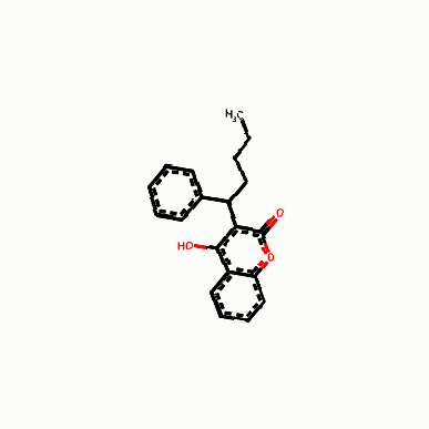 CCCCC(c1ccccc1)c1c(O)c2ccccc2oc1=O